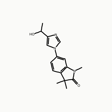 CC(O)c1cn(-c2ccc3c(c2)N(C)C(=O)C3(C)C)cn1